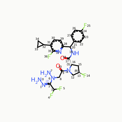 N/N=C(/C(F)F)N(N)CC(=O)N1C[C@H](F)C[C@H]1C(=O)NC(c1ccc(F)cc1)c1ccc(C2CC2)c(F)n1